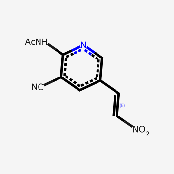 CC(=O)Nc1ncc(/C=C/[N+](=O)[O-])cc1C#N